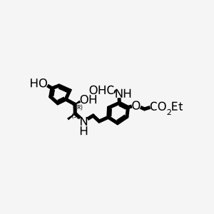 CCOC(=O)COc1ccc(CCN[C@@H](C)[C@H](O)c2ccc(O)cc2)cc1NC=O